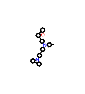 Cc1ccc(N(c2ccc(-c3ccc(-n4c5ccccc5c5ccccc54)cc3)cc2)c2ccc(-c3cccc4c3oc3ccccc34)cc2)cc1